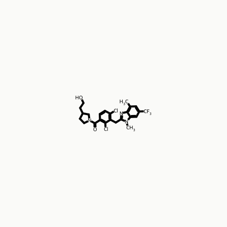 Cc1cc(C(F)(F)F)cc2c1nc(Cc1c(Cl)ccc(C(=O)N3CCC(CCO)C3)c1Cl)n2C